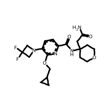 NC(=O)CC1(NC(=O)c2ccc(N3CC(F)(F)C3)c(OCC3CC3)n2)CCOCC1